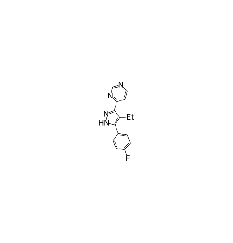 CCc1c(-c2ccncn2)n[nH]c1-c1ccc(F)cc1